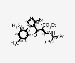 CCCC(CCC)N/C=C(\C(=O)OCC)C(=O)c1c(Br)ncn1-c1ccc(C)cc1C